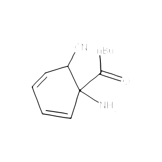 CCCCC(=O)C1(N)C=CC=CC1C#N